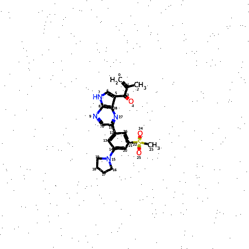 C=C(C)C(=O)c1c[nH]c2ncc(-c3cc(N4CCCC4)cc(S(C)(=O)=O)c3)nc12